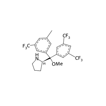 COC(c1cc(C)cc(C(F)(F)F)c1)(c1cc(C(F)(F)F)cc(C(F)(F)F)c1)[C@H]1CCCN1